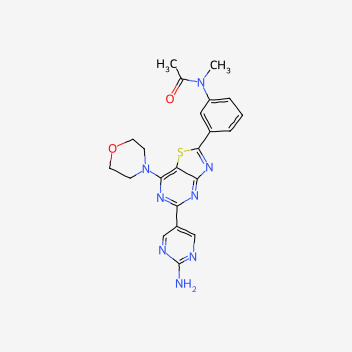 CC(=O)N(C)c1cccc(-c2nc3nc(-c4cnc(N)nc4)nc(N4CCOCC4)c3s2)c1